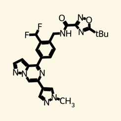 Cn1cc(-c2cn3nccc3c(-c3ccc(CNC(=O)c4noc(C(C)(C)C)n4)c(C(F)F)c3)n2)cn1